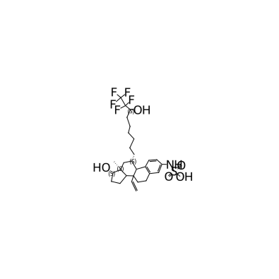 C=CC12CCc3cc(NS(=O)(=O)O)ccc3C1[C@@H](CCCCCC[C@H](O)C(F)(F)C(F)(F)F)C[C@@]1(C)C2CC[C@@H]1O